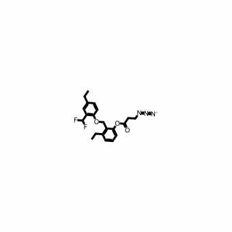 CCc1ccc(OCc2c(CC)cccc2OC(=O)CCN=[N+]=[N-])c(C(F)F)c1